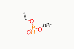 C=CO[PH](=O)OCCC